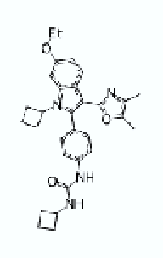 CCOc1ccc2c(-c3nc(C)c(C)o3)c(-c3ccc(NC(=O)NC4CCC4)cc3)n(C3CCC3)c2c1